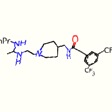 CCCNC(C)NCCN1CCC(CNC(=O)c2cc(C(F)(F)F)cc(C(F)(F)F)c2)CC1